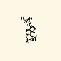 CS(=O)(=O)OCc1ccnc(N2CCC(=O)NC2=O)c1F